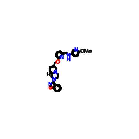 COc1ccc(NCc2cccc(OC[C@@H]3CC[C@H]4CN(c5noc6ccccc56)CCN4C3)n2)cn1